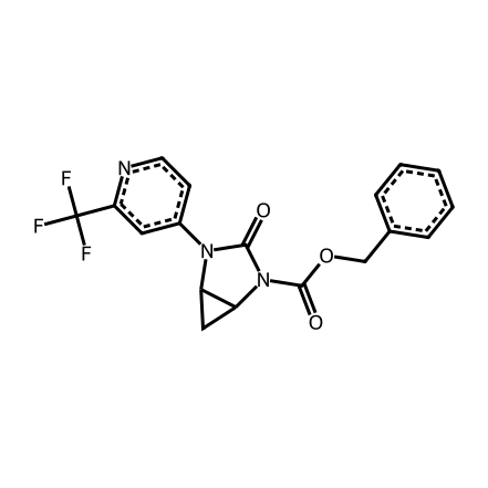 O=C(OCc1ccccc1)N1C(=O)N(c2ccnc(C(F)(F)F)c2)C2CC21